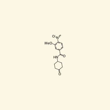 C=[N+]([O-])c1ccc(C(=O)NC2CCC(=O)CC2)cc1OC